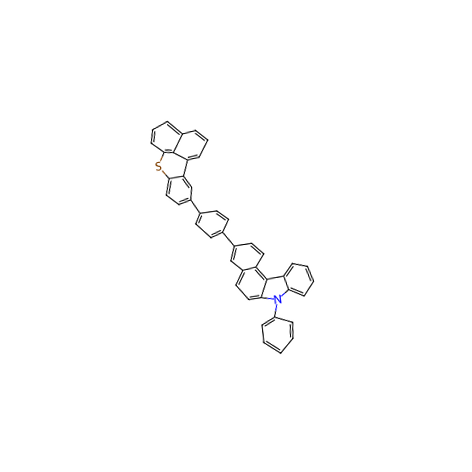 c1ccc(-n2c3ccccc3c3c4ccc(-c5ccc(-c6ccc7c(c6)-c6cccc8cccc(c68)S7)cc5)cc4ccc32)cc1